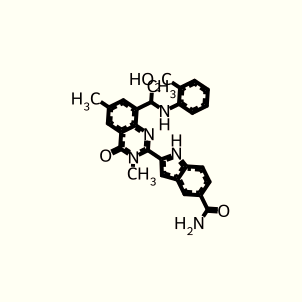 Cc1cc(C(C)Nc2ccccc2C(=O)O)c2nc(-c3cc4cc(C(N)=O)ccc4[nH]3)n(C)c(=O)c2c1